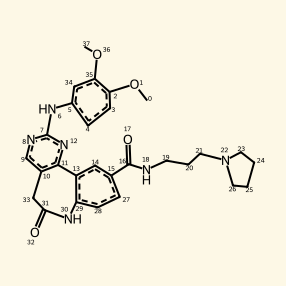 COc1ccc(Nc2ncc3c(n2)-c2cc(C(=O)NCCCN4CCCC4)ccc2NC(=O)C3)cc1OC